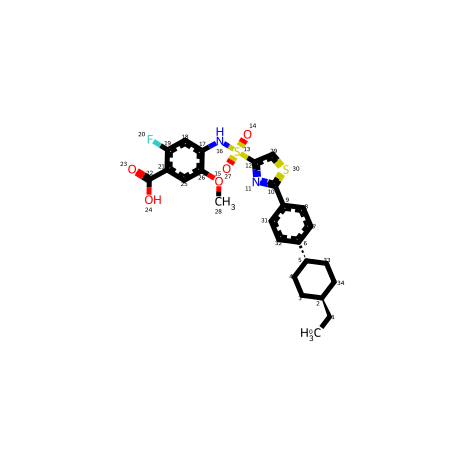 CC[C@H]1CC[C@H](c2ccc(-c3nc(S(=O)(=O)Nc4cc(F)c(C(=O)O)cc4OC)cs3)cc2)CC1